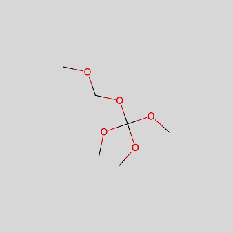 COCOC(OC)(OC)OC